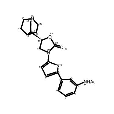 CC(=O)Nc1cccc(-c2ccc(N3C[C@@H](C4CN5CCC4CC5)OC3=O)s2)c1